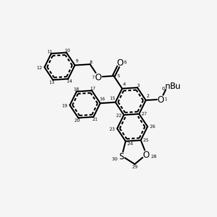 CCCCOc1cc(C(=O)OCc2ccccc2)c(-c2ccccc2)c2cc3c(cc12)OCS3